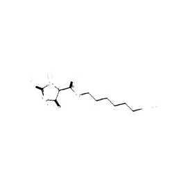 CCCCCCCCCCCCCCCCNC(=O)C1NC(=O)NC1=O